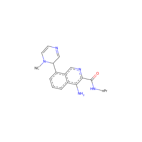 CCCNC(=O)c1ncc2c(C3C=NC=CN3C#N)cccc2c1N